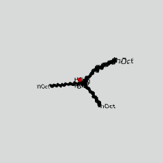 CCCCCCCCC=CCCCCCCCCCCCC(=O)C(O)C(O)(C(=O)CCCCCCCC=CCCCCCCCC)C(O)C(=O)CCCCCCCCCCCC=CCCCCCCCC